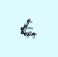 COc1nc(-c2cccc(-c3cccc(-c4ccn5c(=O)c(CNCC6CCC(=O)N6)c(Cl)nc5c4)c3Cl)c2Cl)ccc1CNCC1CCC(=O)N1